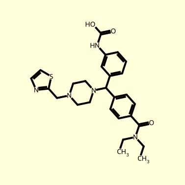 CCN(CC)C(=O)c1ccc(C(c2cccc(NC(=O)O)c2)N2CCN(Cc3nccs3)CC2)cc1